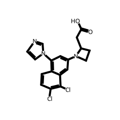 O=C(O)CC1CCN1c1cc(-n2ccnc2)c2ccc(Cl)c(Cl)c2c1